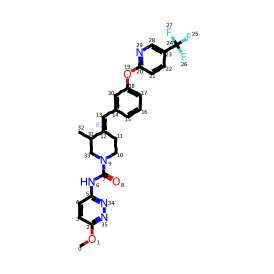 COc1ccc(NC(=O)N2CC/C(=C\c3cccc(Oc4ccc(C(F)(F)F)cn4)c3)C(C)C2)nn1